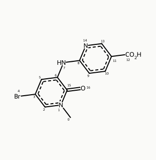 Cn1cc(Br)cc(Nc2ccc(C(=O)O)cn2)c1=O